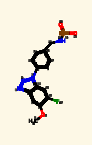 COc1cc2nnn(-c3ccc(CN[SH](=O)=O)cc3)c2cc1F